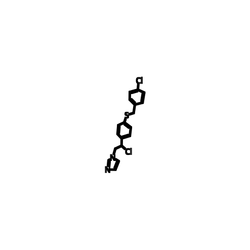 Clc1ccc(CSc2ccc(C(Cl)Cn3ccnc3)cc2)cc1